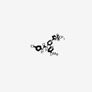 COc1ccc([C@@H]2CN(c3ccn(S(C)(=O)=O)n3)CC[C@H]2NC(=O)Nc2ccc(Cl)cc2)nc1